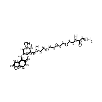 C=CC(=O)NCCOCCOCCOCCNC[C@H]1C[C@H](Cc2c(F)ccc3occc23)CN(C)C1